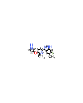 Cc1cc2c(-c3ccc(OC4CCNC4)c(C)n3)n[nH]c2cc1F